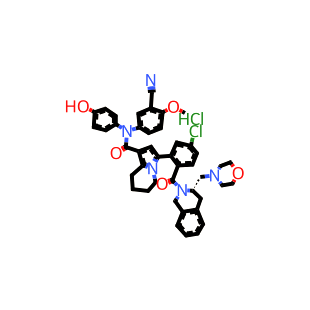 COc1ccc(N(C(=O)c2cc(-c3cc(Cl)ccc3C(=O)N3Cc4ccccc4C[C@H]3CN3CCOCC3)n3c2CCCC3)c2ccc(O)cc2)cc1C#N.Cl